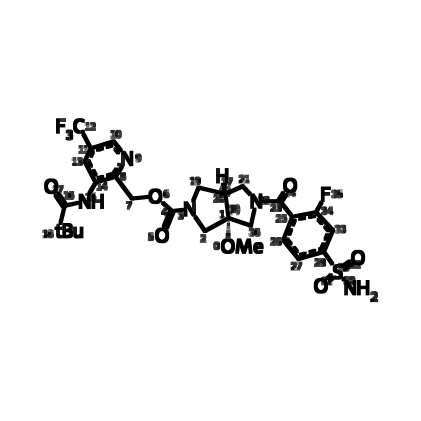 CO[C@]12CN(C(=O)OCc3ncc(C(F)(F)F)cc3NC(=O)C(C)(C)C)C[C@@H]1CN(C(=O)c1ccc(S(N)(=O)=O)cc1F)C2